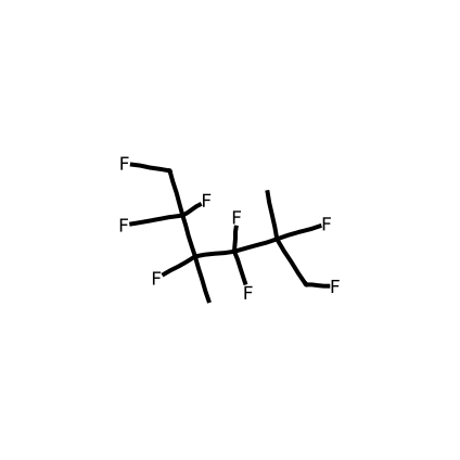 CC(F)(CF)C(F)(F)C(C)(F)C(F)(F)CF